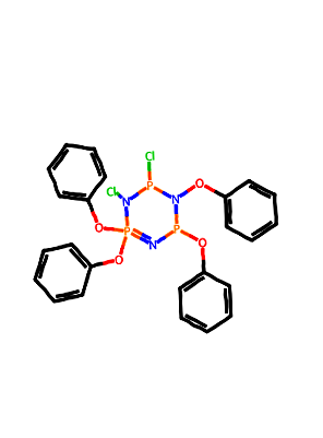 ClN1P(Cl)N(Oc2ccccc2)P(Oc2ccccc2)N=P1(Oc1ccccc1)Oc1ccccc1